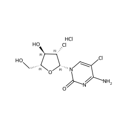 Cl.Nc1nc(=O)n([C@@H]2O[C@H](CO)[C@@H](O)[C@@H]2Cl)cc1Cl